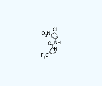 O=C(Nc1ccc(Cl)c([N+](=O)[O-])c1)c1cc(C(F)(F)F)ccn1